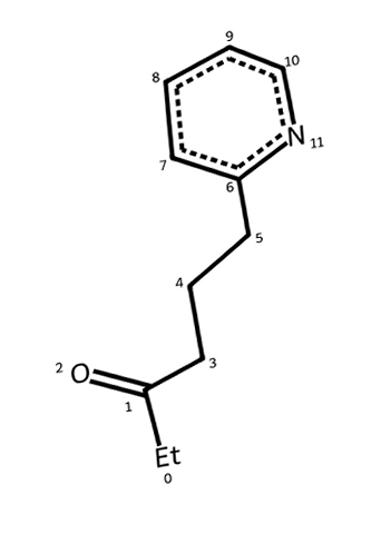 CCC(=O)CCCc1ccccn1